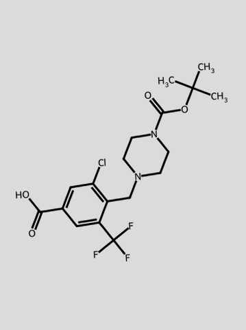 CC(C)(C)OC(=O)N1CCN(Cc2c(Cl)cc(C(=O)O)cc2C(F)(F)F)CC1